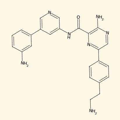 NCCc1ccc(-c2cnc(N)c(C(=O)Nc3cncc(-c4cccc(N)c4)c3)n2)cc1